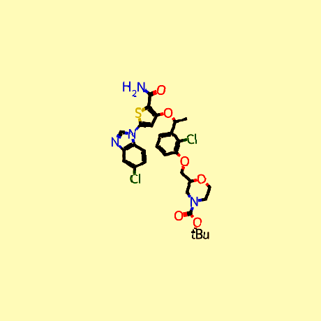 CC(Oc1cc(-n2cnc3cc(Cl)ccc32)sc1C(N)=O)c1cccc(OCC2CN(C(=O)OC(C)(C)C)CCO2)c1Cl